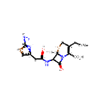 CSCC1=C(C(=O)O)N2C(=O)C(NC(=O)Cc3csc(N)n3)[C@H]2SC1